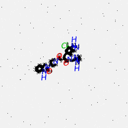 O=C(C[C@@H]1Cc2cc(Cl)c3[nH]ncc3c2CN(Cc2ncc[nH]2)C1=O)N1CCC(N2Cc3ccccc3NC2=O)CC1